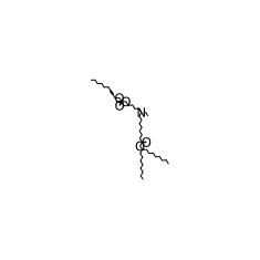 CCCCCCC#CCOC(=O)OCCCCN(CC)CCCCCCCC(=O)OC(CCCCCCCC)CCCCCCCC